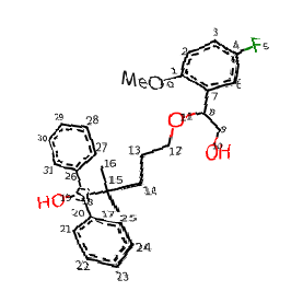 COc1ccc(F)cc1C(CO)OCCCC(C)(C)[Si](O)(c1ccccc1)c1ccccc1